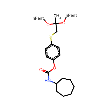 CCCCCOC(C)(CSc1ccc(OC(=O)NC2CCCCCC2)cc1)OCCCCC